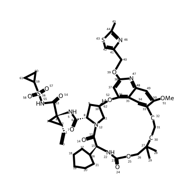 C=C[C@@H]1C[C@]1(NC(=O)[C@@H]1C[C@@H]2CN1C(=O)[C@H](C1CCCCC1)NC(=O)OCC(C)(C)CCCc1cc3c(cc(OCc4csc(C)n4)nc3cc1OC)O2)C(=O)NS(=O)(=O)C1CC1